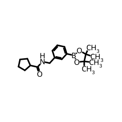 CC1(C)OB(c2cccc(CNC(=O)C3CCCC3)c2)OC1(C)C